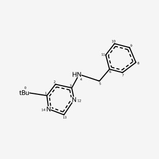 CC(C)(C)c1cc(NCc2ccccc2)ncn1